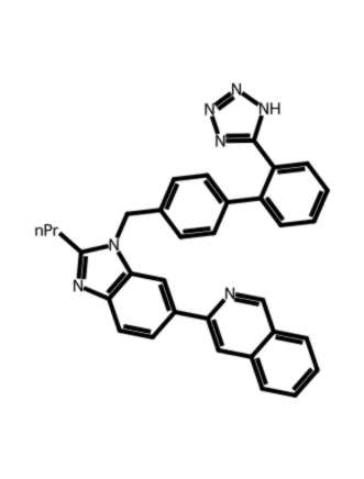 CCCc1nc2ccc(-c3cc4ccccc4cn3)cc2n1Cc1ccc(-c2ccccc2-c2nnn[nH]2)cc1